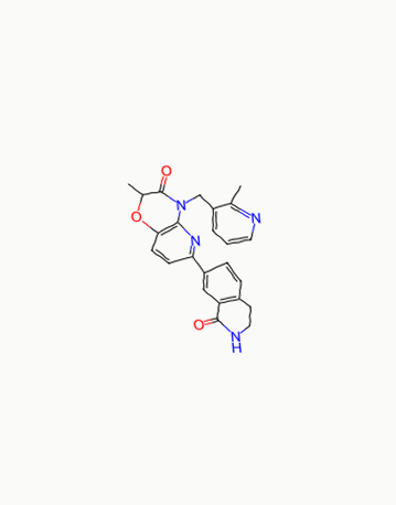 Cc1ncccc1CN1C(=O)C(C)Oc2ccc(-c3ccc4c(c3)C(=O)NCC4)nc21